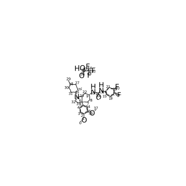 COc1ccc(C23CCC(NC(=O)Nc4ccc(F)c(F)c4)CC2N(C2CCC(C)CC2)CC3)cc1OC.O=C(O)C(F)(F)F